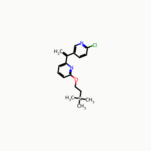 C=C(c1ccc(Cl)nc1)c1cccc(OCC[Si](C)(C)C)n1